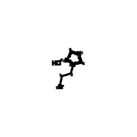 BrCCn1cncn1.Cl